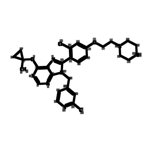 CC1(Oc2ncnc3c2nc(-c2ccc(OCCN4CCNCC4)cc2Cl)n3Cc2ccnc(Cl)c2)CC1